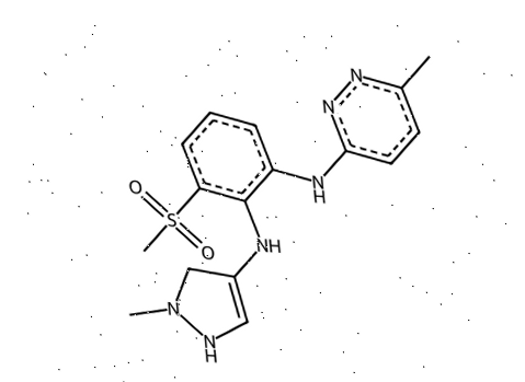 Cc1ccc(Nc2cccc(S(C)(=O)=O)c2NC2=CNN(C)C2)nn1